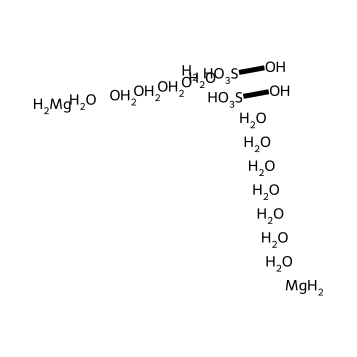 O.O.O.O.O.O.O.O.O.O.O.O.O.O=S(=O)(O)O.O=S(=O)(O)O.[MgH2].[MgH2]